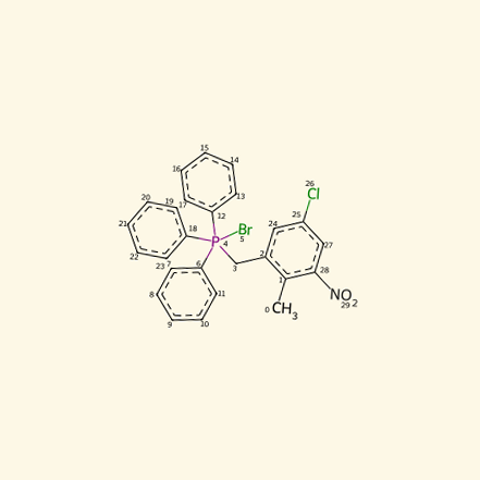 Cc1c(CP(Br)(c2ccccc2)(c2ccccc2)c2ccccc2)cc(Cl)cc1[N+](=O)[O-]